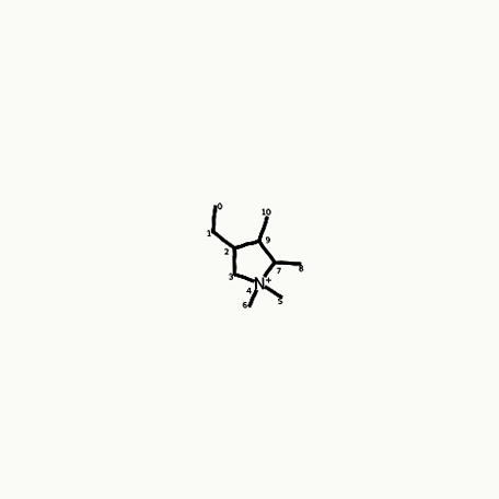 CCC1C[N+](C)(C)C(C)C1C